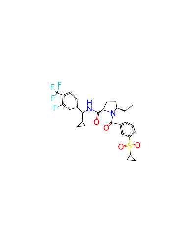 CC[C@@H]1CC[C@H](C(=O)NC(c2ccc(C(F)(F)F)c(F)c2)C2CC2)N1C(=O)c1cccc(S(=O)(=O)C2CC2)c1